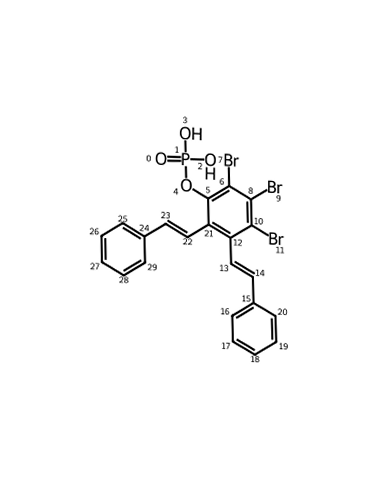 O=P(O)(O)Oc1c(Br)c(Br)c(Br)c(C=Cc2ccccc2)c1C=Cc1ccccc1